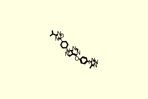 Cc1nnnn1-c1ccc(Oc2ncnc3c2cnn3[C@H]2CC[C@H](c3nc(C(C)C)no3)CC2)cc1